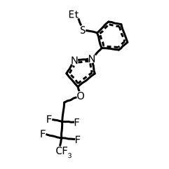 CCSc1ccccc1-n1cc(OCC(F)(F)C(F)(F)C(F)(F)F)cn1